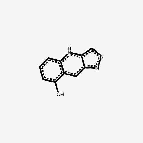 Oc1cccc2[nH]c3cnnc-3cc12